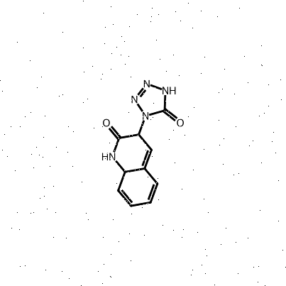 O=C1NC2C=CC=CC2=CC1n1nn[nH]c1=O